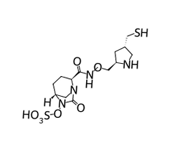 O=C(NOC[C@H]1C[C@H](CS)CN1)[C@@H]1CC[C@@H]2CN1C(=O)N2OS(=O)(=O)O